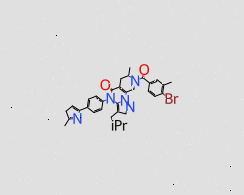 CC1=NC(c2ccc(-n3c(=O)c4c(n5ncc(CC(C)C)c35)CN(C(=O)c3ccc(Br)c(C)c3)C(C)C4)cc2)=CC1